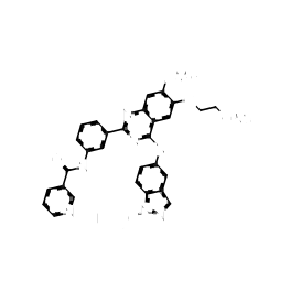 COCCOc1cc2c(Nc3ccc4c(cnn4C(=O)O)c3)nc(-c3cccc(NC(=O)c4cccnc4)c3)nc2cc1OC